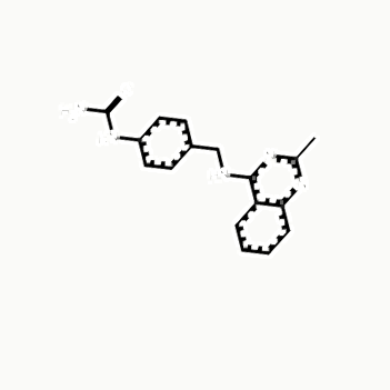 Cc1nc(NCc2ccc(NC(N)=O)cc2)c2ccccc2n1